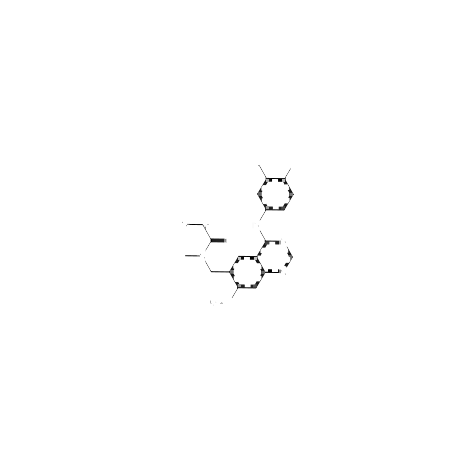 COc1cc2ncnc(Nc3ccc(F)c(Cl)c3)c2cc1CN(C)C(=O)[C@@H](C)N